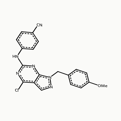 COc1ccc(Cn2ncc3c(Cl)nc(Nc4ccc(C#N)cc4)nc32)cc1